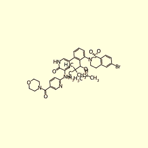 C[SiH](C)OC(c1c(-c2c[nH]c(=O)c(Nc3ccc(C(=O)N4CCOCC4)cn3)c2)cccc1N1CCc2cc(Br)ccc2S1(=O)=O)C(C)(C)C